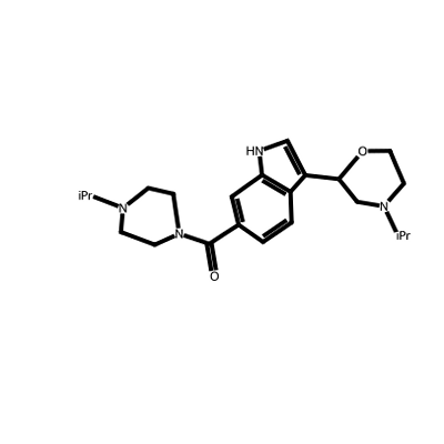 CC(C)N1CCN(C(=O)c2ccc3c(C4CN(C(C)C)CCO4)c[nH]c3c2)CC1